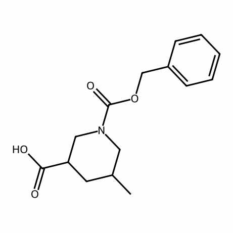 CC1CC(C(=O)O)CN(C(=O)OCc2ccccc2)C1